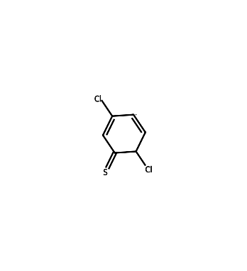 S=C1C=C(Cl)[C]=CC1Cl